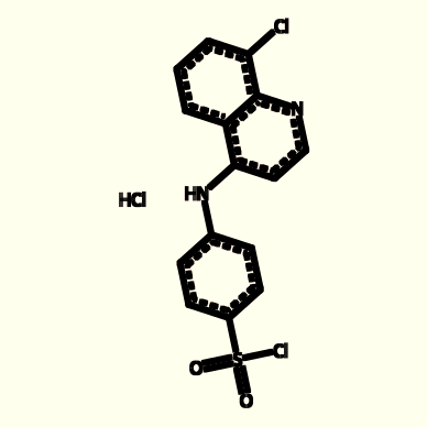 Cl.O=S(=O)(Cl)c1ccc(Nc2ccnc3c(Cl)cccc23)cc1